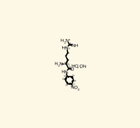 Cl.Cl.N=C(N)NCCC[C@H](N)C(=O)Nc1ccc([N+](=O)[O-])cc1